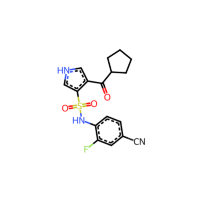 N#Cc1ccc(NS(=O)(=O)c2c[nH]cc2C(=O)C2CCCC2)c(F)c1